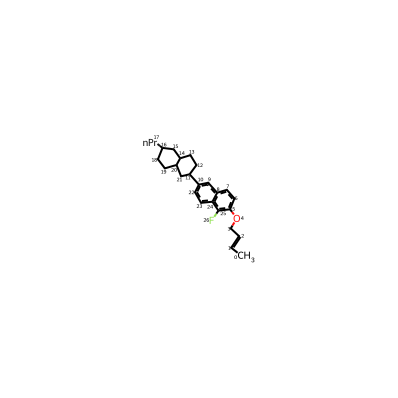 C/C=C/COc1ccc2cc(C3CCC4CC(CCC)CCC4C3)ccc2c1F